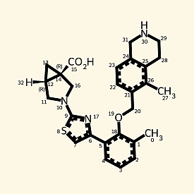 Cc1cccc(-c2csc(N3C[C@@H]4C[C@]4(C(=O)O)C3)n2)c1OCc1ccc2c(c1C)CCNC2